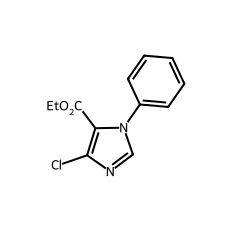 CCOC(=O)c1c(Cl)ncn1-c1ccccc1